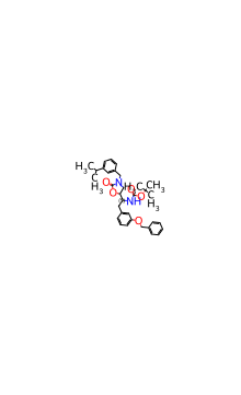 CC(C)c1cccc(CN2CC([C@H](Cc3cccc(OCc4ccccc4)c3)NC(=O)OC(C)(C)C)OC2=O)c1